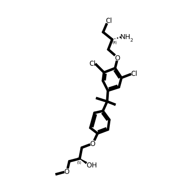 COC[C@H](O)COc1ccc(C(C)(C)c2cc(Cl)c(OC[C@@H](N)CCl)c(Cl)c2)cc1